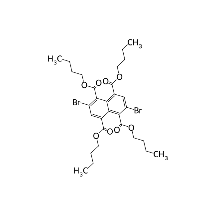 CCCCOC(=O)c1cc(Br)c(C(=O)OCCCC)c2c(C(=O)OCCCC)cc(Br)c(C(=O)OCCCC)c12